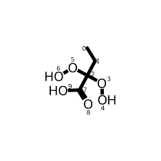 CCC(OO)(OO)C(=O)O